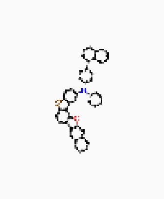 c1ccc(N(c2ccc(-c3cccc4ccccc34)cc2)c2ccc3sc4ccc5c6cc7ccccc7cc6oc5c4c3c2)cc1